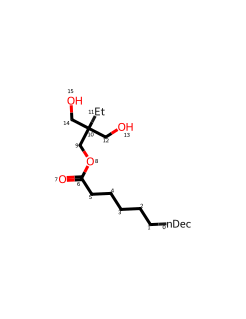 CCCCCCCCCCCCCCCC(=O)OCC(CC)(CO)CO